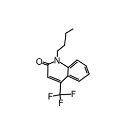 CCCCn1c(=O)cc(C(F)(F)F)c2ccccc21